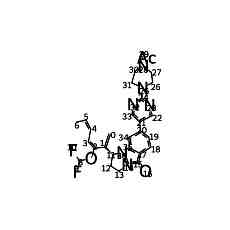 C=C(/C(=C\C=C/C)OC(F)F)[C@@H]1CCn2c(=O)c3ccc(-c4cnc(N5CCN(C(C)=O)CC5)nc4)cc3n21